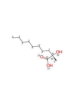 CCCCCCCC[C@](C)(O)C(=O)O